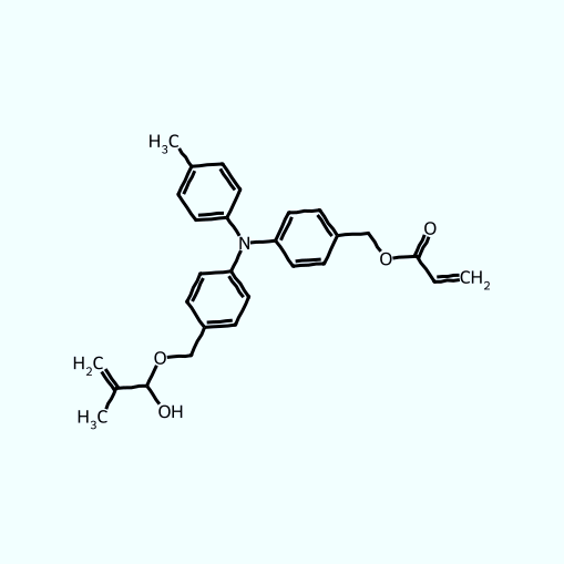 C=CC(=O)OCc1ccc(N(c2ccc(C)cc2)c2ccc(COC(O)C(=C)C)cc2)cc1